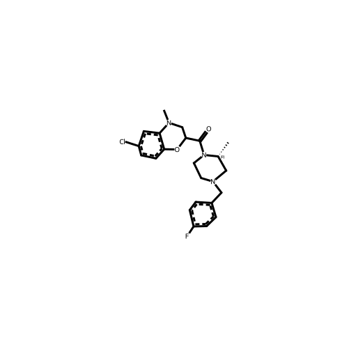 C[C@@H]1CN(Cc2ccc(F)cc2)CCN1C(=O)C1CN(C)c2cc(Cl)ccc2O1